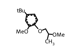 COc1cc(C(C)(C)C)ccc1OCC(C)OC